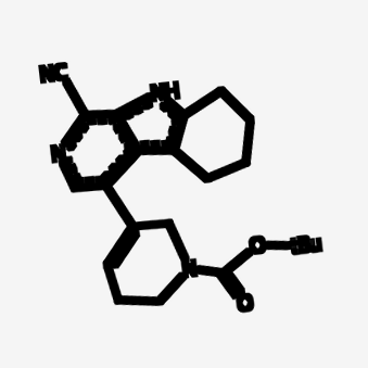 CC(C)(C)OC(=O)N1CCC=C(c2cnc(C#N)c3[nH]c4c(c23)CCCC4)C1